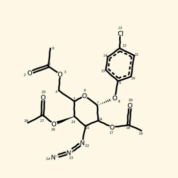 CC(=O)OCC1O[C@H](Oc2ccc(Cl)cc2)C(OC(C)=O)C(N=[N+]=[N-])[C@H]1OC(C)=O